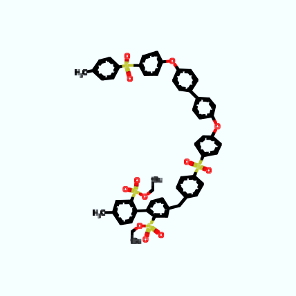 Cc1ccc(S(=O)(=O)c2ccc(Oc3ccc(-c4ccc(Oc5ccc(S(=O)(=O)c6ccc(Cc7ccc(-c8ccc(C)cc8S(=O)(=O)OCC(C)(C)C)c(S(=O)(=O)OCC(C)(C)C)c7)cc6)cc5)cc4)cc3)cc2)cc1